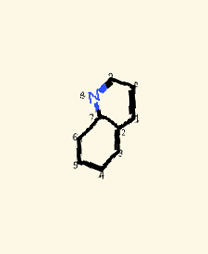 C1=CC2=CCCCC2N=C1